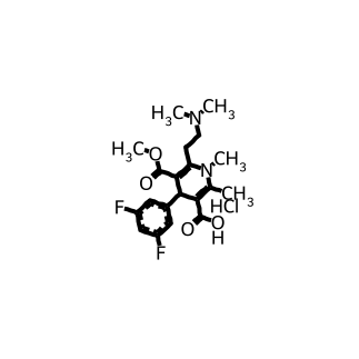 COC(=O)C1=C(CCN(C)C)N(C)C(C)=C(C(=O)O)C1c1cc(F)cc(F)c1.Cl